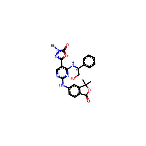 CCn1nc(-c2cnc(Nc3ccc4c(c3)C(C)(C)OC4=O)nc2N[C@H](CO)c2ccccc2)oc1=O